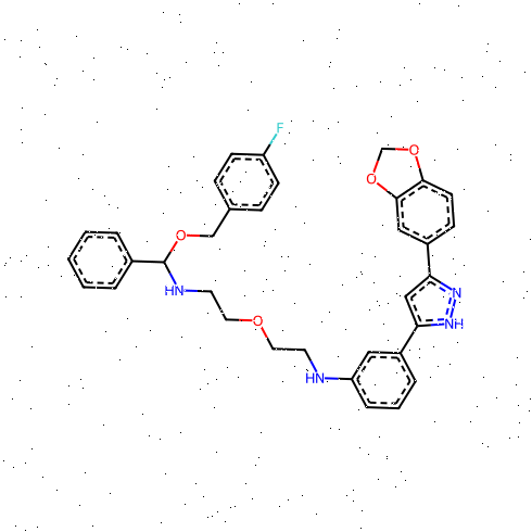 Fc1ccc(COC(NCCOCCNc2cccc(-c3cc(-c4ccc5c(c4)OCO5)n[nH]3)c2)c2ccccc2)cc1